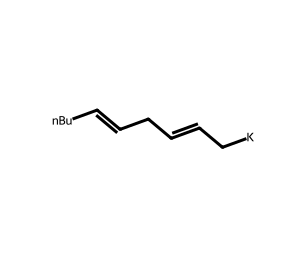 CCCCC=CCC=C[CH2][K]